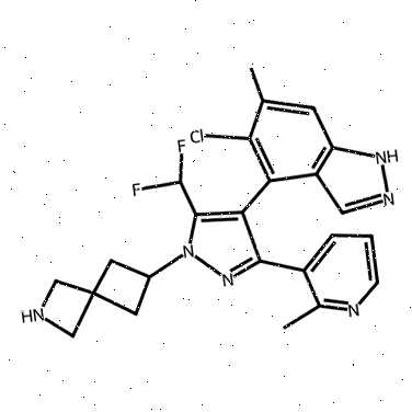 Cc1cc2[nH]ncc2c(-c2c(-c3cccnc3C)nn(C3CC4(CNC4)C3)c2C(F)F)c1Cl